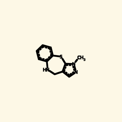 Cn1ncc2c1Sc1ccccc1NC2